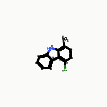 O=[N+]([O-])c1ccc(Cl)c2c1[nH]c1ccccc12